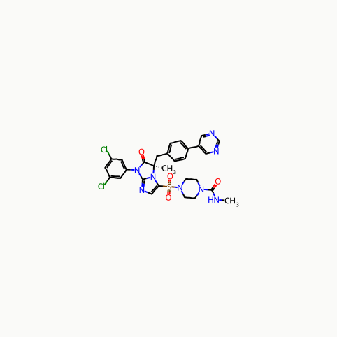 CNC(=O)N1CCN(S(=O)(=O)c2cnc3n2[C@](C)(Cc2ccc(-c4cncnc4)cc2)C(=O)N3c2cc(Cl)cc(Cl)c2)CC1